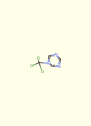 ClC(Cl)(Cl)[n+]1cncnc1